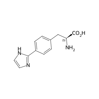 N[C@@H](Cc1ccc(-c2ncc[nH]2)cc1)C(=O)O